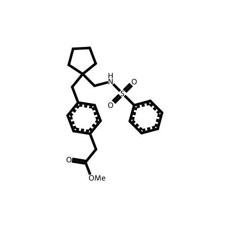 COC(=O)Cc1ccc(CC2(CNS(=O)(=O)c3ccccc3)CCCC2)cc1